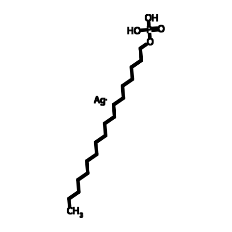 CCCCCCCCCCCCCCCCCCOP(=O)(O)O.[Ag]